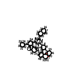 c1ccc(-c2ccc(C3N=C(c4ccc5ccccc5c4)N=C(c4ccc(-c5ccccc5)c5oc6ccccc6c45)N3)cc2-c2cccc3ccccc23)cc1